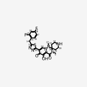 CN1C(=O)c2c(O)c(=O)c(-c3nnc(Cc4ccc(F)cc4F)s3)cn2N(C)C12CCNCC2